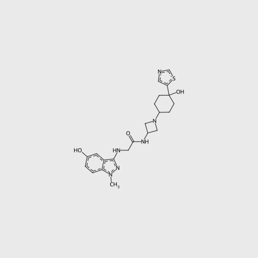 Cn1nc(NCC(=O)NC2CN(C3CCC(O)(c4cncs4)CC3)C2)c2cc(O)ccc21